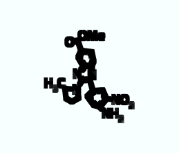 COC(=O)c1ccc2nc(-c3ccc(N)c([N+](=O)[O-])c3)c(N3CCCC3C)nc2c1